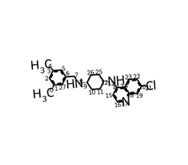 Cc1cc(C)cc(CN[C@H]2CC[C@@H](Nc3ccnc4cc(Cl)ccc34)CC2)c1